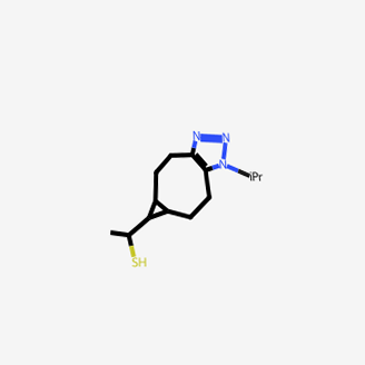 CC(S)C1C2CCc3nnn(C(C)C)c3CCC21